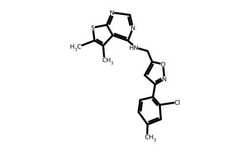 Cc1ccc(-c2cc(CNc3ncnc4sc(C)c(C)c34)on2)c(Cl)c1